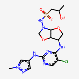 CC(O)CS(=O)(=O)NN1COC2C1OC[C@H]2Nc1nc(Nc2cnn(C)c2)ncc1Cl